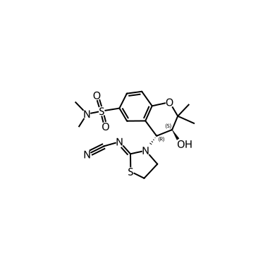 CN(C)S(=O)(=O)c1ccc2c(c1)[C@@H](N1CCSC1=NC#N)[C@H](O)C(C)(C)O2